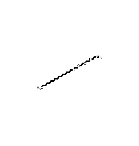 CCCCCCCCCCCCCCCCOCCOCCOCCOCCN